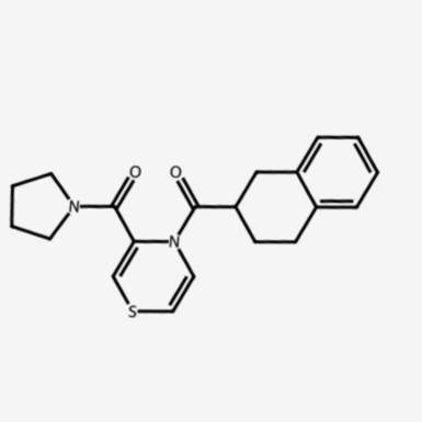 O=C(C1=CSC=CN1C(=O)C1CCc2ccccc2C1)N1CCCC1